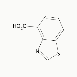 O=C(O)c1cccc2scnc12